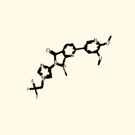 COc1cc(-c2ccc3c(n2)[C@@H](C)N(c2cn(CC(F)(F)F)cn2)C3=O)cnc1OC